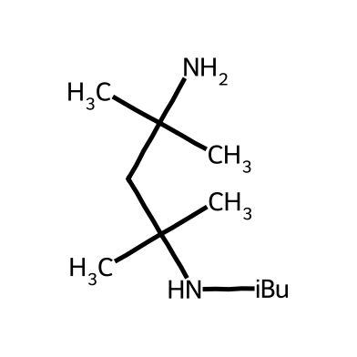 CCC(C)NC(C)(C)CC(C)(C)N